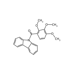 COc1ccc(C(=O)n2c3ccccc3c3ccccc32)c(OC)c1OC